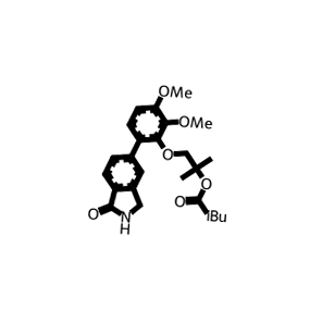 CCC(C)C(=O)OC(C)(C)COc1c(-c2ccc3c(c2)CNC3=O)ccc(OC)c1OC